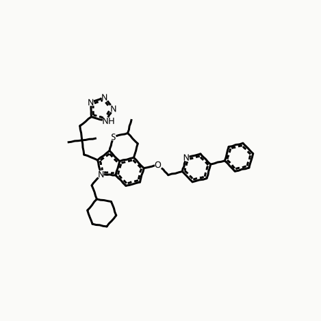 CC1Cc2c(OCc3ccc(-c4ccccc4)cn3)ccc3c2c(c(CC(C)(C)Cc2nnn[nH]2)n3CC2CCCCC2)S1